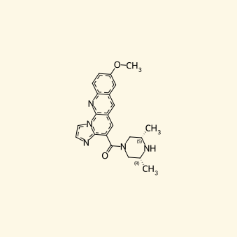 COc1ccc2nc3c(cc(C(=O)N4C[C@@H](C)N[C@@H](C)C4)c4nccn43)cc2c1